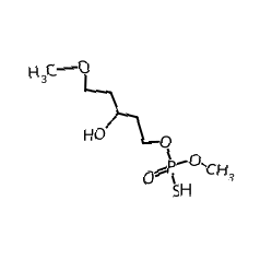 COCCC(O)CCOP(=O)(S)OC